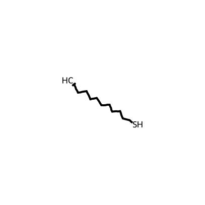 C#CCCCCCCCCCCS